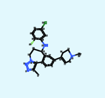 Cc1nnn2c1-c1ccc(C3=CCN(C(C)C)CC3)cc1C(Nc1cc(Cl)ccc1F)CC2